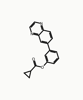 O=C(Oc1cccc(-c2ccc3nccnc3c2)c1)C1CC1